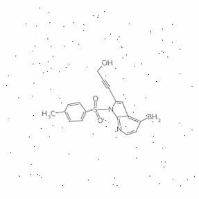 Bc1ccnc2c1cc(C#CCO)n2S(=O)(=O)c1ccc(C)cc1